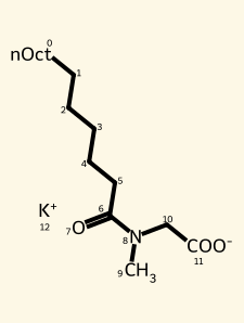 CCCCCCCCCCCCCC(=O)N(C)CC(=O)[O-].[K+]